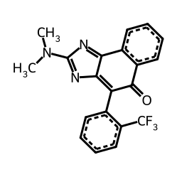 CN(C)C1=NC2=C(c3ccccc3C(F)(F)F)C(=O)c3ccccc3C2=N1